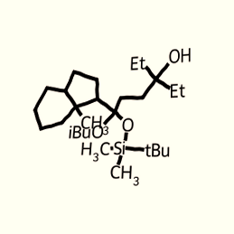 CCC(O)(CC)CCC(OCC(C)C)(O[Si](C)(C)C(C)(C)C)C1CCC2CCCCC21C